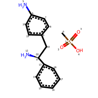 CS(=O)(=O)O.Nc1ccc(C[C@H](N)c2ccccc2)cc1